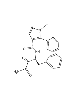 Cn1ncc(C(=O)N[C@@H](Cc2ccccc2)C(=O)C(N)=O)c1-c1ccccc1